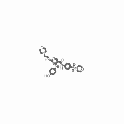 O=C(Nc1ccc(S(=O)(=O)N2CCOCC2)cc1)c1cnc(NCCN2CCOCC2)nc1NC1CCC(O)CC1